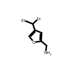 CCC(CC)c1coc(CN)c1